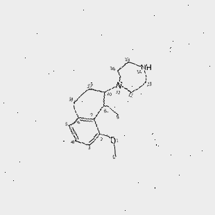 COc1cccc2c1C(C)C(N1CCNCC1)CC2